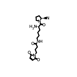 N#C[C@@H]1CCCN1C(=O)[C@@H](N)CCCCNC(=O)CCCN1C(=O)C=CC1=O